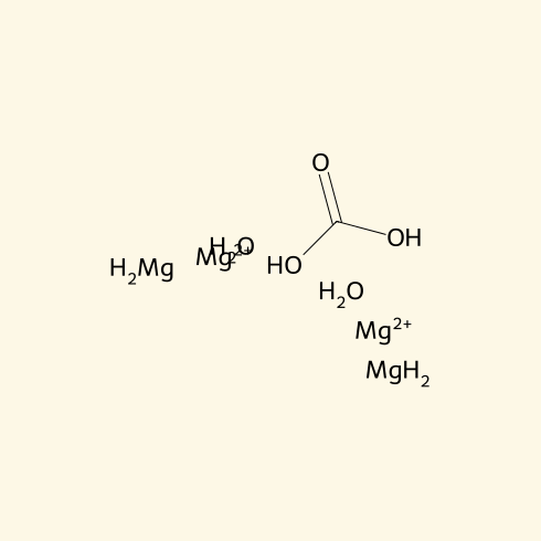 O.O.O=C(O)O.[Mg+2].[Mg+2].[MgH2].[MgH2]